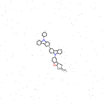 C=C/C=C\c1c(C)oc2ccc(-n3c4ccccc4c4cc(-c5ccc6c(c5)c5ccccc5n6-c5ccccc5)ccc43)cc12